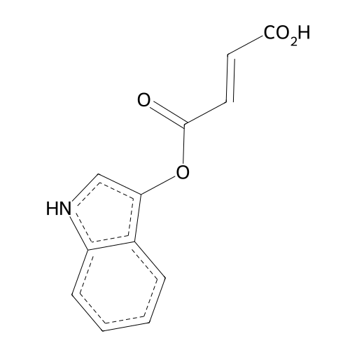 O=C(O)/C=C/C(=O)Oc1c[nH]c2ccccc12